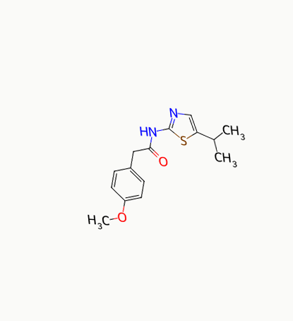 COc1ccc(CC(=O)Nc2ncc(C(C)C)s2)cc1